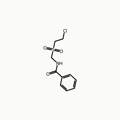 O=C(NCS(=O)(=O)CCCl)c1ccccc1